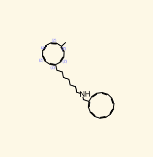 CC1=C/C=C\C(CCCCCCCNCc2ccccccccccccc2)=C/C=C\C=C/C=C\1